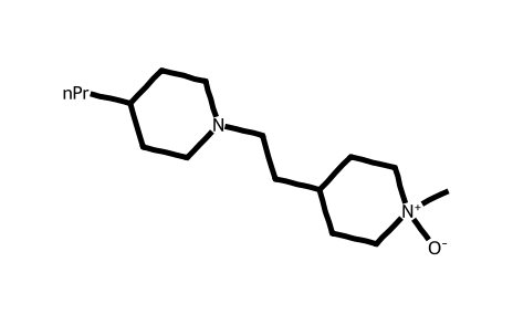 CCCC1CCN(CCC2CC[N+](C)([O-])CC2)CC1